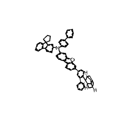 c1ccc(-c2ccc(N(c3ccc4c(c3)C3(CCCC3)c3ccccc3-4)c3ccc4c(c3)oc3cc(-c5ccc6c(c5)-c5ccccc5[C@]65[C@@H]6CC7C[C@@H](C6)C[C@@H]5C7)ccc34)cc2)cc1